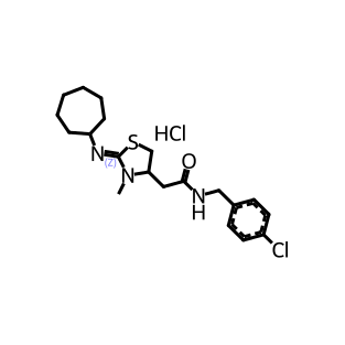 CN1/C(=N/C2CCCCCC2)SCC1CC(=O)NCc1ccc(Cl)cc1.Cl